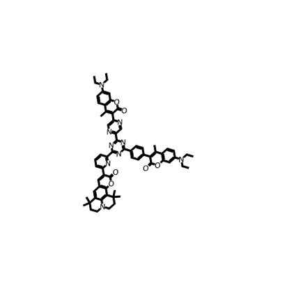 CCN(CC)c1ccc2c(C)c(-c3ccc(-c4nc(-c5cnc(-c6c(C)c7ccc(N(CC)CC)cc7oc6=O)cn5)nc(-c5cccc(-c6cc7cc8c9c(c7oc6=O)C(C)(C)CCN9CCC8(C)C)n5)n4)cc3)c(=O)oc2c1